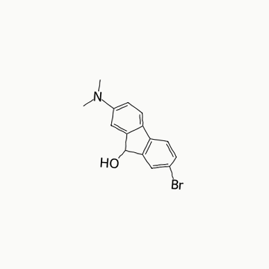 CN(C)c1ccc2c(c1)C(O)c1cc(Br)ccc1-2